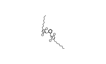 CCCCCCCCC1=CC(=O)N(Cc2ccccc2CN2C(=O)C=C(CCCCCCCC)C2=O)C1=O